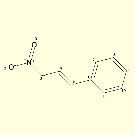 O=[N+]([O-])[CH]C=Cc1ccccc1